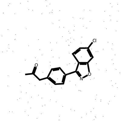 CC(=O)Cc1ccc(-c2noc3cc(Cl)ccc23)cc1